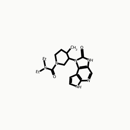 CCN(CC)C(=O)N1CCC(C)C(n2c(=O)[nH]c3cnc4[nH]ccc4c32)C1